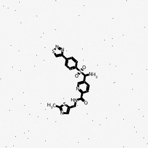 Cc1ncc(CNC(=O)c2ccc(C(N)S(=O)(=O)c3ccc(-c4csnn4)cc3)cn2)s1